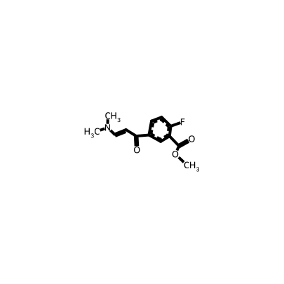 COC(=O)c1cc(C(=O)C=CN(C)C)ccc1F